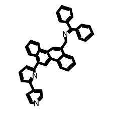 c1ccc(C(=NCc2cc3c4ccccc4c(-c4cccc(-c5ccncc5)n4)cc3c3ccccc23)c2ccccc2)cc1